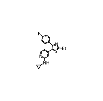 CCc1nc(-c2ccc(F)cc2)c(-c2ccnc(NC3CC3)c2)s1